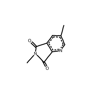 Cc1cnc2c(c1)C(=O)N(C)C2=O